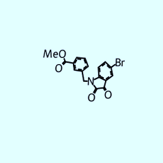 COC(=O)c1cccc(CN2C(=O)C(=O)c3cc(Br)ccc32)c1